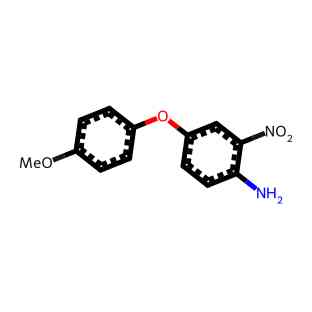 COc1ccc(Oc2ccc(N)c([N+](=O)[O-])c2)cc1